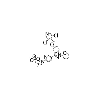 COP(=O)(CC1(C)CN(c2ccc(-c3nn(C4CCCCO4)c4ccc(O[C@H](C)c5c(Cl)cncc5Cl)cc34)cn2)C1)OC